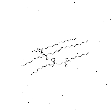 CCCCCCCCCCCCCC(=O)OC(C)C.CCCCCCCCCCCCCCCC(=O)OCCCCCCCC.CCCCCCCCOC(=O)CCC(=O)OCCCCCCCC